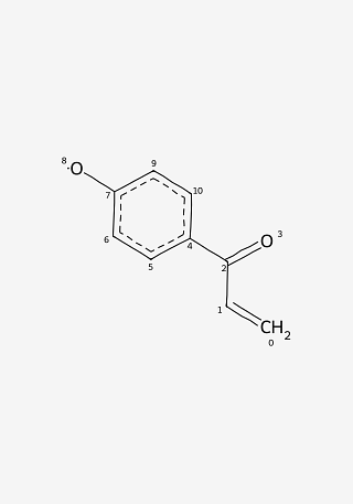 C=CC(=O)c1ccc([O])cc1